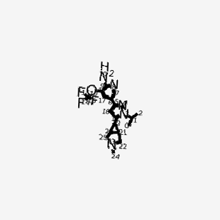 CC(C)n1nc(-c2cnc(N)c(OC(F)(F)F)c2)cc1C1C2CN(C)CC21